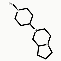 CC(C)N1CCC(N2CCN3CCCC3C2)CC1